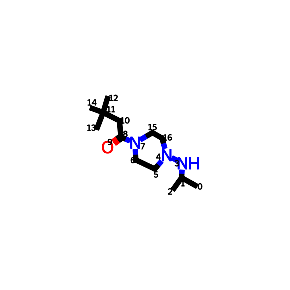 CC(C)NN1CCN(C(=O)CC(C)(C)C)CC1